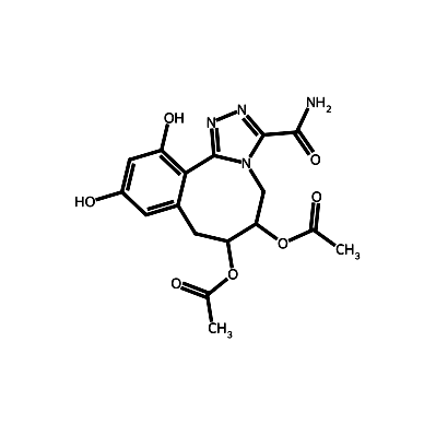 CC(=O)OC1Cc2cc(O)cc(O)c2-c2nnc(C(N)=O)n2CC1OC(C)=O